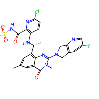 Cc1cc([C@@H](C)Nc2ccc(Cl)nc2C(=O)NS(C)(=O)=O)c2nc(N3Cc4cc(F)cnc4C3)n(C)c(=O)c2c1